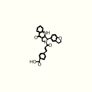 O=C(O)c1ccc(/C=C/C(=O)N2Cc3c([nH]c4ccccc4c3=O)C2c2ccc3c(c2)CCO3)cc1